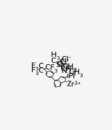 CC(C)C1=Cc2c(-c3ccc(C(C(F)(F)F)(C(F)(F)F)C(F)(F)F)cc3)cccc2[CH]1[Zr+2].CC1=CC2=C3C(C)=C(C2=N1)[Si]3(C)C.[Cl-].[Cl-]